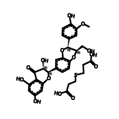 COc1cc([C@H]2Oc3cc([C@H]4Oc5cc(O)cc(O)c5C(=O)[C@@H]4O)ccc3O[C@@H]2CO)ccc1O.O=C(O)CCSCCC(=O)O